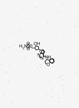 NS(=O)(=O)OC[C@@H]1C[C@@H](n2ccc3c(N[C@H]4CCOc5ccccc54)ncnc32)C[C@@H]1O